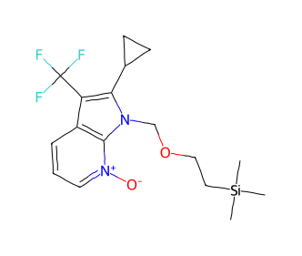 C[Si](C)(C)CCOCn1c(C2CC2)c(C(F)(F)F)c2ccc[n+]([O-])c21